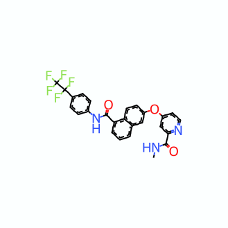 CNC(=O)c1cc(Oc2ccc3c(C(=O)Nc4ccc(C(F)(F)C(F)(F)F)cc4)cccc3c2)ccn1